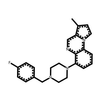 Cc1ccn2c1cnc1c(N3CCN(Cc4ccc(F)cc4)CC3)cccc12